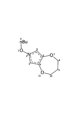 CCCCOn1cc2c(c1)OCCCO2